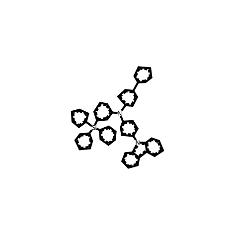 c1ccc(-c2ccc(N(c3ccc(-n4c5ccccc5c5ccccc54)cc3)c3cccc([Si](c4ccccc4)(c4ccccc4)c4ccccc4)c3)cc2)cc1